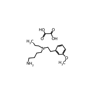 CCCN(CCCCN)CCc1cccc(OC)c1.O=C(O)C(=O)O